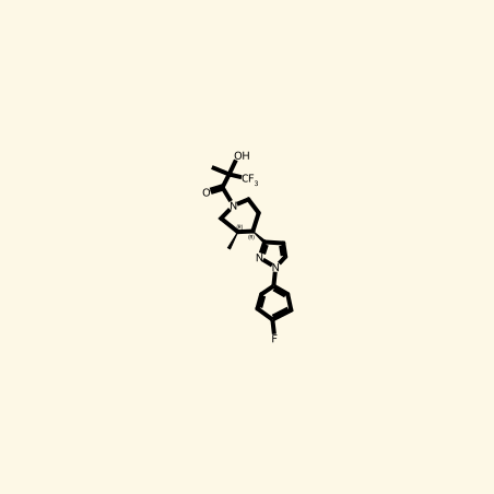 C[C@H]1CN(C(=O)C(C)(O)C(F)(F)F)CC[C@H]1c1ccn(-c2ccc(F)cc2)n1